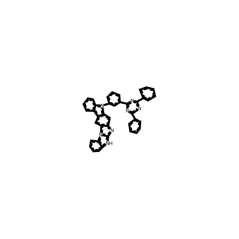 c1ccc(-c2nc(-c3ccccc3)nc(-c3cccc(-n4c5ccccc5c5cc6c(cc54)nc4[nH]c5ccccc5n46)c3)n2)cc1